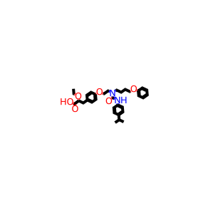 CCOC(Cc1ccc(OCCN(CCCCOc2ccccc2)C(=O)Nc2ccc(C(C)C)cc2)cc1)C(=O)O